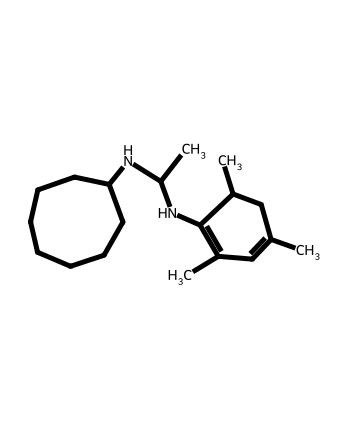 CC1=CC(C)=C(NC(C)NC2CCCCCCC2)C(C)C1